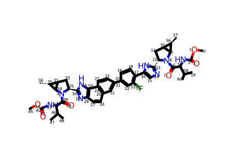 COC(=O)NC(C(=O)N1C2C(C[C@H]1c1ncc(-c3ccc(-c4ccc5c(ccc6nc([C@@H]7CC8C([C@@H]8C)N7C(=O)[C@@H](NC(=O)OC)C(C)C)[nH]c65)c4)cc3F)[nH]1)[C@H]2C)C(C)C